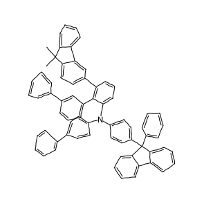 CC1(C)c2ccccc2-c2cc(-c3cccc(N(c4ccc(-c5ccccc5)cc4)c4ccc(C5(c6ccccc6)c6ccccc6-c6ccccc65)cc4)c3-c3cccc(-c4ccccc4)c3)ccc21